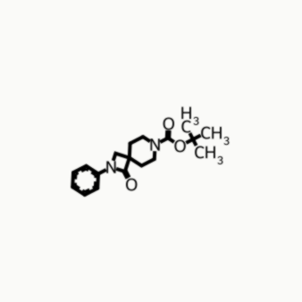 CC(C)(C)OC(=O)N1CCC2(CC1)CN(c1ccccc1)C2=O